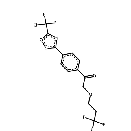 O=C(COCCC(F)(F)F)c1ccc(-c2noc(C(F)(F)Cl)n2)cc1